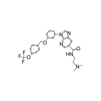 CN(C)CCNC(=O)c1cnc2c(c1)ncn2-c1cccc(OCc2ccc(OC(F)(F)F)cc2)c1